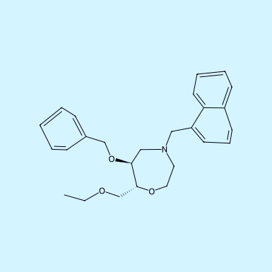 CCOC[C@H]1OCCN(Cc2cccc3ccccc23)C[C@@H]1OCc1ccccc1